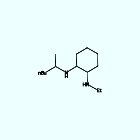 CCCCC(C)NC1CCCCC1NCC